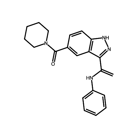 C=C(Nc1ccccc1)c1n[nH]c2ccc(C(=O)N3CCCCC3)cc12